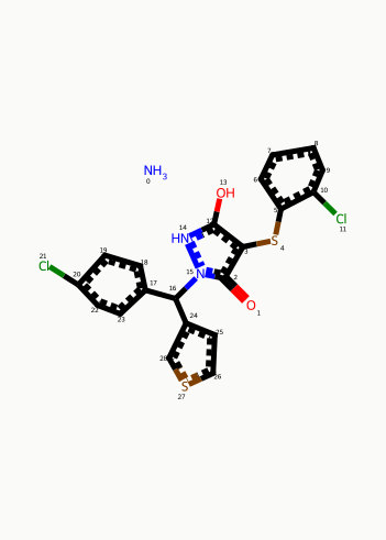 N.O=c1c(Sc2ccccc2Cl)c(O)[nH]n1C(c1ccc(Cl)cc1)c1ccsc1